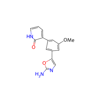 COc1cc(-c2cnc(N)o2)cc(-c2ccc[nH]c2=O)c1